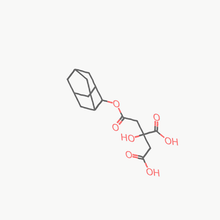 O=C(O)CC(O)(CC(=O)OC1C2CC3CC(C2)CC1C3)C(=O)O